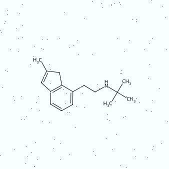 CC1=Cc2cccc(CCNC(C)(C)C)c2C1